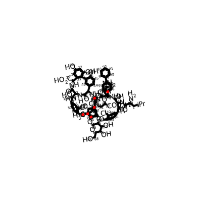 CC(C)C[C@@H](N)C(=O)NC1C(=O)N[C@@H](CC(N)=O)C(=O)N[C@H]2C(=O)NC3C(=O)N[C@H](C(=O)NC(C(=O)O)c4cc(O)cc(O)c4-c4cc3ccc4O)[C@H](O)c3ccc(c(Cl)c3)Oc3cc2cc(c3OC2OC(CO)C(O)C(O)C2OC2CC(C)(NCC(OCc3ccc(-c4ccccc4)cc3)C(=O)O)C(O)C(C)O2)Oc2ccc(cc2Cl)[C@H]1O